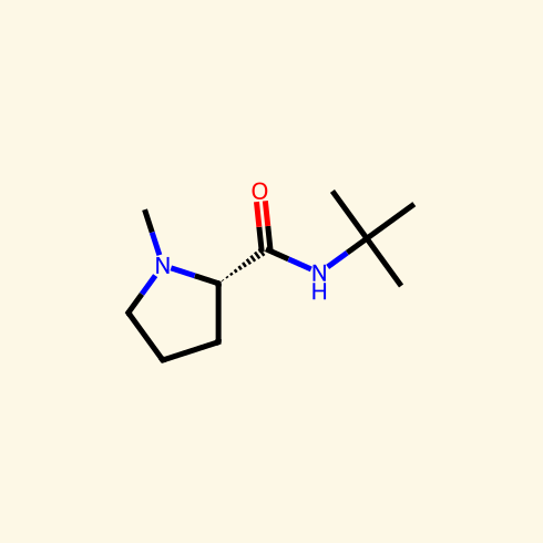 CN1CCC[C@H]1C(=O)NC(C)(C)C